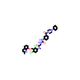 Cc1ccc2cccc(OCc3c(Cl)ccc(N(C)C(=O)CNC(=O)Nc4cccc(C(=O)N5CCN(c6ccccc6)CC5)c4)c3Cl)c2n1